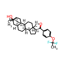 COC[C@]12CC[C@@](C)(O)C[C@@H]1CC[C@H]1[C@@H]3CC[C@H](C(=O)c4ccc(OC(C)(F)F)cc4)[C@@]3(C)CC[C@@H]12